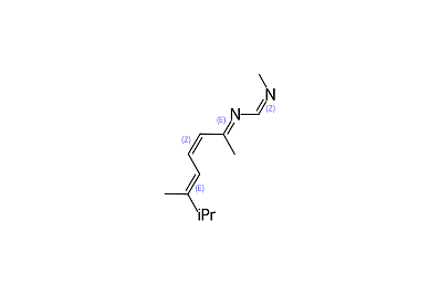 C\N=C/N=C(C)/C=C\C=C(/C)C(C)C